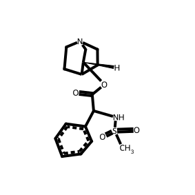 CS(=O)(=O)NC(C(=O)O[C@H]1CN2CCC1CC2)c1ccccc1